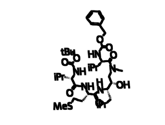 CSCC[C@H](NC(=O)[C@@H](NC(=O)OC(C)(C)C)C(C)C)C(=O)N[C@@H](CC(C)C)[C@@H](O)CN(C)C(=O)[C@H](NC(=O)OCc1ccccc1)C(C)C